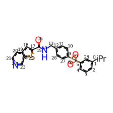 CC(C)c1cccc(S(=O)(=O)c2ccc(CNC(=O)c3cc4ccncc4s3)cc2)c1